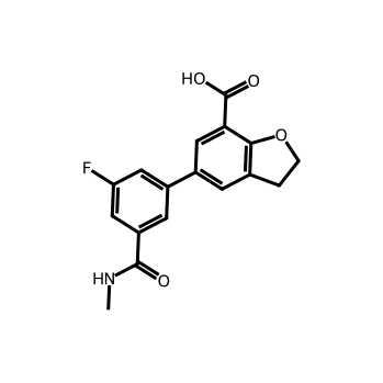 CNC(=O)c1cc(F)cc(-c2cc3c(c(C(=O)O)c2)OCC3)c1